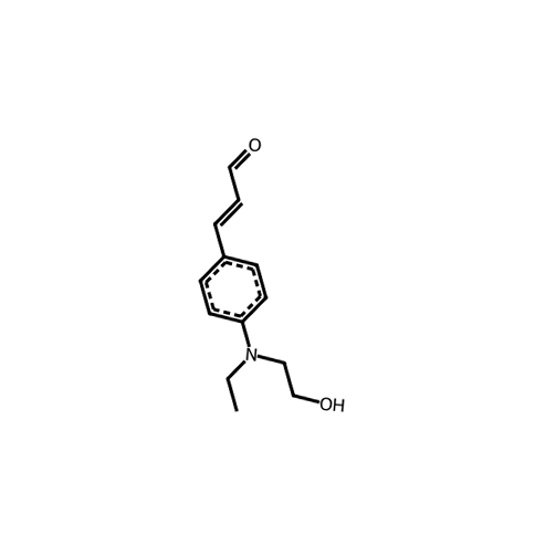 CCN(CCO)c1ccc(C=CC=O)cc1